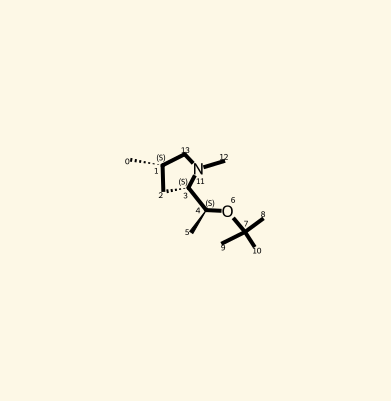 C[C@H]1C[C@@H]([C@H](C)OC(C)(C)C)N(C)C1